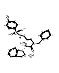 O=C(N[C@H]1c2ccccc2C[C@H]1O)[C@H](Cc1ccccc1)C[C@H](O)CNS(=O)(=O)c1ccc(Cl)cc1